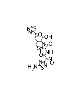 CON=C(C(=O)NC1C(=O)N2C(C(=O)O)=C(CSc3nncs3)CS[C@@H]12)c1nsc(N)n1